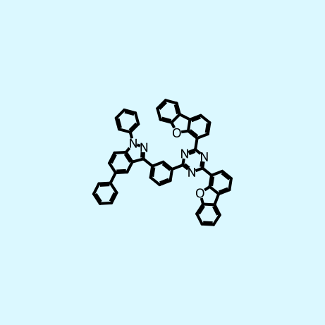 c1ccc(-c2ccc3c(c2)c(-c2cccc(-c4nc(-c5cccc6c5oc5ccccc56)nc(-c5cccc6c5oc5ccccc56)n4)c2)nn3-c2ccccc2)cc1